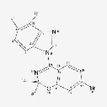 Cc1ccc2c(ncn2C2=NC(C)(C)Oc3cc(Br)ccc32)c1C